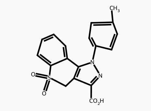 Cc1ccc(-n2nc(C(=O)O)c3c2-c2ccccc2S(=O)(=O)C3)cc1